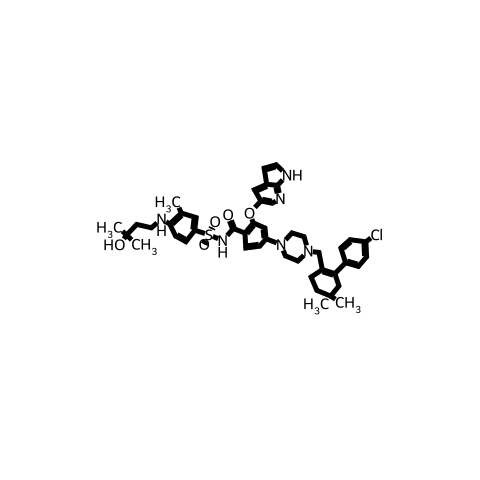 Cc1cc(S(=O)(=O)NC(=O)c2ccc(N3CCN(CC4=C(c5ccc(Cl)cc5)CC(C)(C)CC4)CC3)cc2Oc2cnc3[nH]ccc3c2)ccc1NCCC(C)(C)O